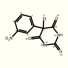 CCC1(c2cccc([N+](=O)[O-])c2)C(=O)NC(=O)NC1=O